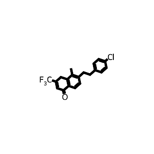 Cc1c(CCc2ccc(Cl)cc2)ccc2c1CC(C(F)(F)F)=CC2=O